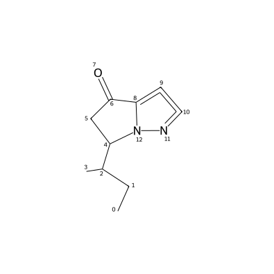 CCC(C)C1CC(=O)C2=C=C=NN21